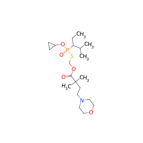 CCC(C(C)C)P(=O)(OC1CC1)SCOC(=O)C(C)(C)CCN1CCOCC1